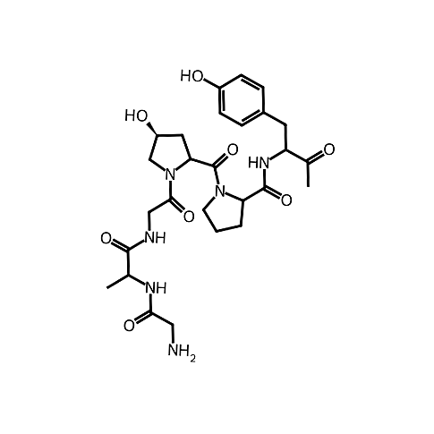 CC(=O)C(Cc1ccc(O)cc1)NC(=O)C1CCCN1C(=O)C1C[C@H](O)CN1C(=O)CNC(=O)C(C)NC(=O)CN